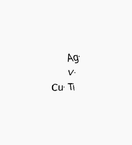 [Ag].[Cu].[Ti].[V]